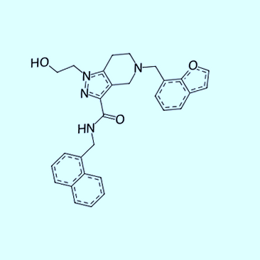 O=C(NCc1cccc2ccccc12)c1nn(CCO)c2c1CN(Cc1cccc3ccoc13)CC2